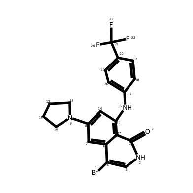 O=c1[nH]cc(Br)c2cc(N3CCCC3)cc(Nc3ccc(C(F)(F)F)cc3)c12